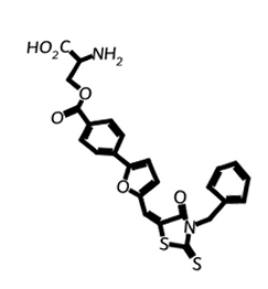 NC(COC(=O)c1ccc(-c2ccc(/C=C3/SC(=S)N(Cc4ccccc4)C3=O)o2)cc1)C(=O)O